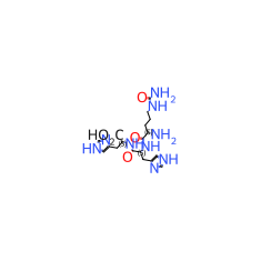 NC(=O)NCCC[C@H](N)C(=O)N[C@@H](Cc1c[nH]cn1)C(=O)N[C@@H](Cc1c[nH]cn1)C(=O)O